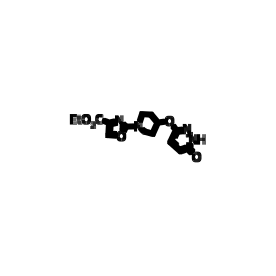 CCOC(=O)c1coc(N2CCC(Oc3ccc(=O)[nH]n3)CC2)n1